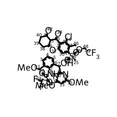 COCc1cccc(C(O)c2nc(OC)cc(OC)n2)c1NS(=O)(=O)C(F)F.CS(=O)(=O)c1ccc(C(=O)C2C(=O)CCCC2=O)c(Cl)c1COCC(F)(F)F